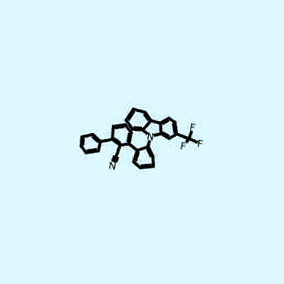 N#Cc1c(-c2ccccc2)cccc1-c1ccccc1-n1c2ccccc2c2ccc(C(F)(F)F)cc21